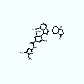 COc1cc(C(=O)Nc2cc(C(F)(F)F)n(C)n2)cc(Cl)c1-c1nc([C@@H]2CC[C@H]3CCC(=O)N3C2)n2ccnc(N)c12